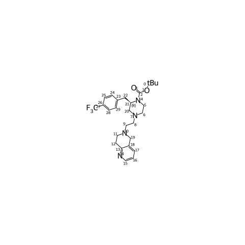 CC(C)(C)OC(=O)N1CCN(CCN2CCc3ncccc3C2)C[C@H]1Cc1ccc(C(F)(F)F)cc1